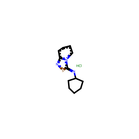 Cl.c1ccn2c(=NC3CCCCC3)snc2c1